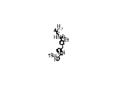 CCc1cc(Cc2cccn3c(C4=CCN=C4C(C)(C)C)cnc23)ccc1C(=O)NCCC1(C)CC1